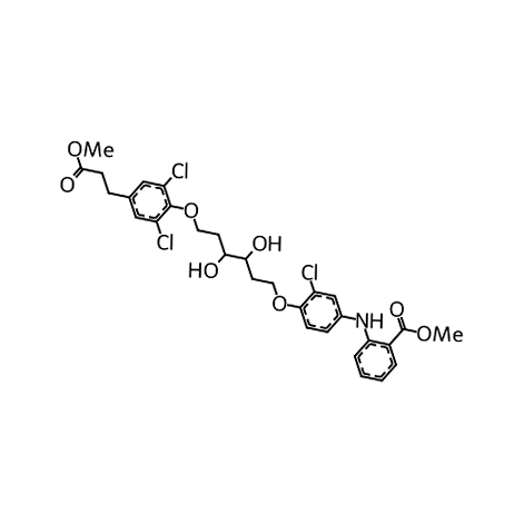 COC(=O)CCc1cc(Cl)c(OCCC(O)C(O)CCOc2ccc(Nc3ccccc3C(=O)OC)cc2Cl)c(Cl)c1